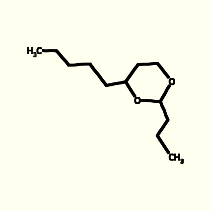 CCCCCC1CCOC(CCC)O1